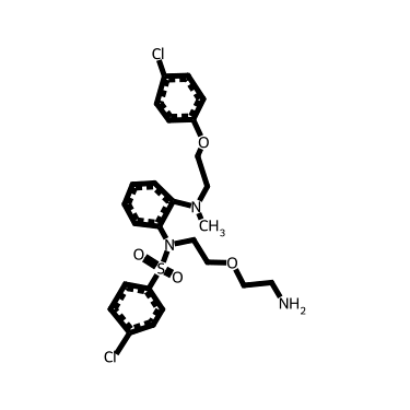 CN(CCOc1ccc(Cl)cc1)c1ccccc1N(CCOCCN)S(=O)(=O)c1ccc(Cl)cc1